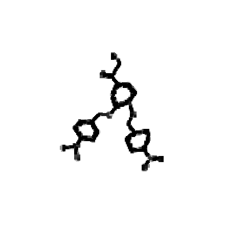 O=C(CBr)c1ccc(OCc2ccc([N+](=O)[O-])cc2)c(OCc2ccc([N+](=O)[O-])cc2)c1